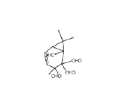 CC1(C=O)C=CC2C(C)(C)C2(C=O)C1(C=O)C=O